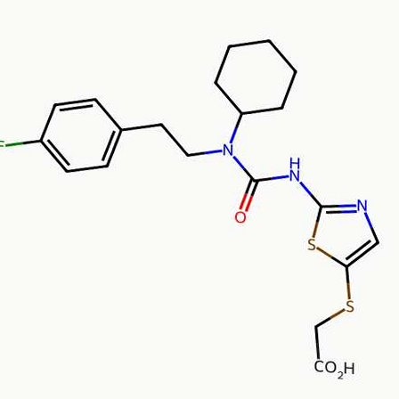 O=C(O)CSc1cnc(NC(=O)N(CCc2ccc(F)cc2)C2CCCCC2)s1